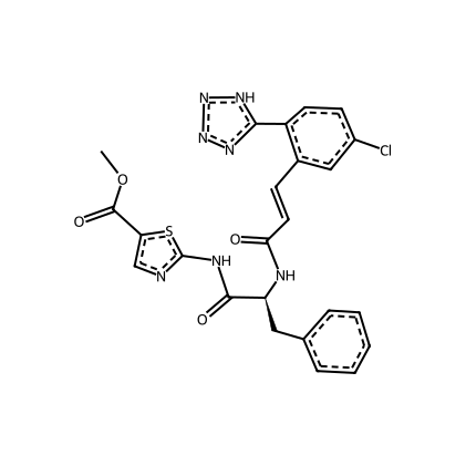 COC(=O)c1cnc(NC(=O)[C@H](Cc2ccccc2)NC(=O)/C=C/c2cc(Cl)ccc2-c2nnn[nH]2)s1